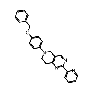 c1ccc(COc2ccc(N3CCc4nc(-c5ccccn5)ncc4C3)cc2)cc1